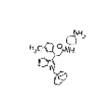 Cc1cccc(C(CC(=O)N[C@H]2CC[C@H](N)CC2)c2cn(CC34CC5CC(CC(C5)C3)C4)c3ccccc23)c1